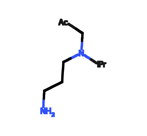 CC(=O)CN(CCCN)C(C)C